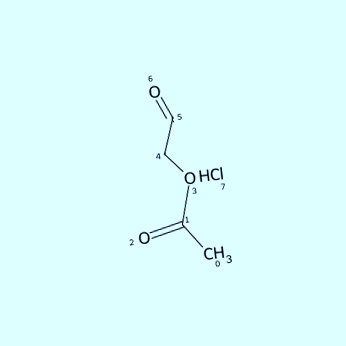 CC(=O)OC[C]=O.Cl